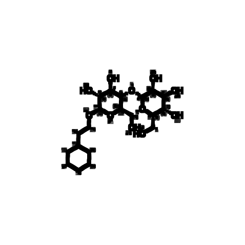 OC[C@H]1O[C@H](O[C@H]2[C@H](O)[C@@H](O)[C@H](OCCC3CCCCC3)O[C@@H]2CO)[C@H](O)[C@@H](O)[C@@H]1O